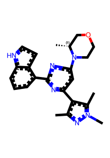 Cc1nn(C)c(C)c1-c1cc(N2CCOC[C@H]2C)nc(-c2cccc3[nH]ccc23)n1